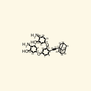 Nc1ccc(Oc2ccc(C#CC34CC5CC(CC(C5)C3)C4)c(Oc3ccc(N)c(O)c3)c2)cc1O